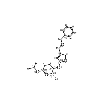 CC(C)O[C@H]1CC[C@@H](O[C@H]2C=C(COCc3ccccc3)CO2)[C@H](C)O1